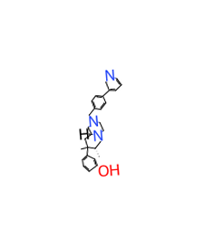 C[C@H]1CN2CCN(Cc3ccc(-c4cccnc4)cc3)C[C@H]2CC1(C)c1cccc(O)c1